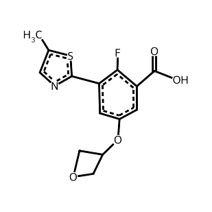 Cc1cnc(-c2cc(OC3COC3)cc(C(=O)O)c2F)s1